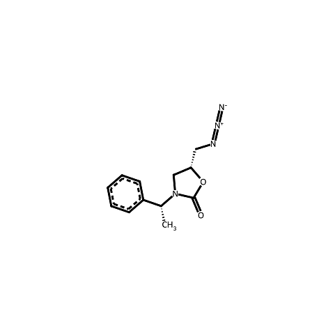 C[C@H](c1ccccc1)N1C[C@H](CN=[N+]=[N-])OC1=O